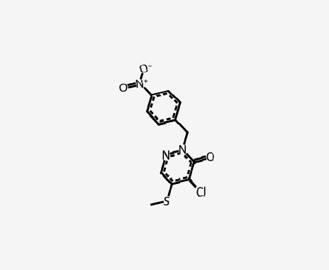 CSc1cnn(Cc2ccc([N+](=O)[O-])cc2)c(=O)c1Cl